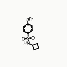 CCCc1ccc(S(=O)(=O)NC2CCC2)cc1